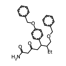 CCC(COCc1ccccc1)C(CC(=O)CC(N)=O)c1ccc(OCc2ccccc2)cc1